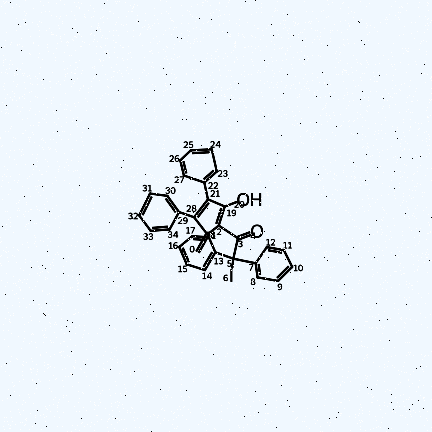 C=C1C(C(=O)C(I)(c2ccccc2)c2ccccc2)=C(O)C(c2ccccc2)=C1c1ccccc1